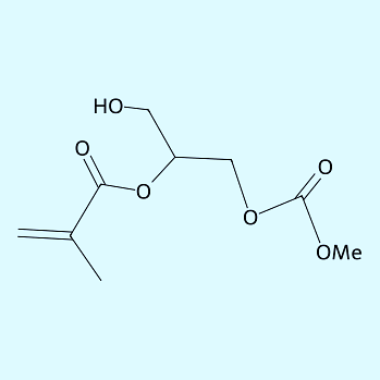 C=C(C)C(=O)OC(CO)COC(=O)OC